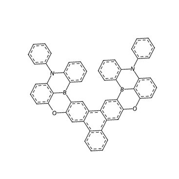 c1ccc(N2c3ccccc3B3c4cc5c(cc4Oc4cccc2c43)c2ccccc2c2cc3c(cc25)B2c4ccccc4N(c4ccccc4)c4cccc(c42)O3)cc1